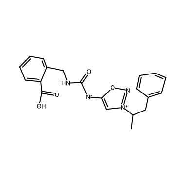 CC(Cc1ccccc1)[n+]1cc([N-]C(=O)NCc2ccccc2C(=O)O)on1